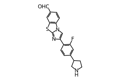 O=Cc1ccc2c(c1)sc1nc(-c3ccc(C4CCNC4)cc3F)cn12